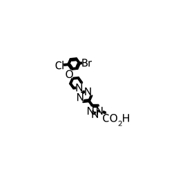 O=C(O)Cn1cc(-c2cnc(N3CCC(Oc4cc(Br)ccc4Cl)CC3)nc2)nn1